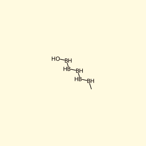 CBBBBBO